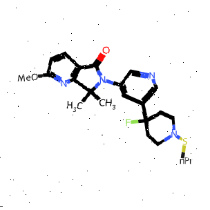 CCCSN1CCC(F)(c2cncc(N3C(=O)c4ccc(OC)nc4C3(C)C)c2)CC1